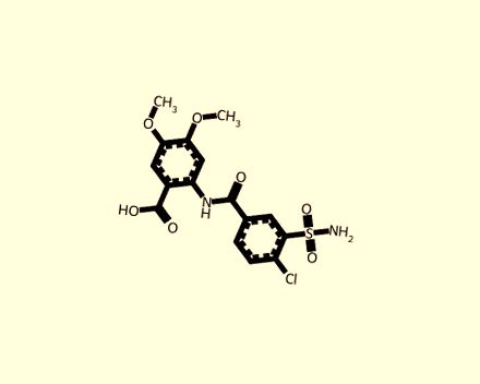 COc1cc(NC(=O)c2ccc(Cl)c(S(N)(=O)=O)c2)c(C(=O)O)cc1OC